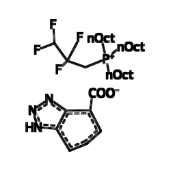 CCCCCCCC[P+](CCCCCCCC)(CCCCCCCC)CC(F)(F)C(F)F.O=C([O-])c1cccc2[nH]nnc12